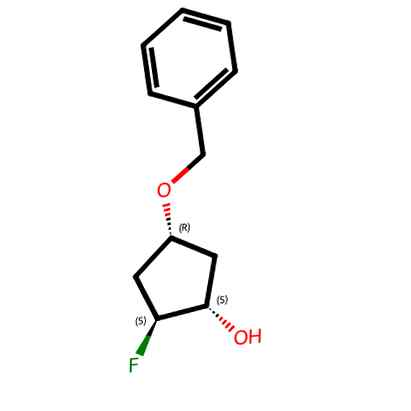 O[C@H]1C[C@@H](OCc2ccccc2)C[C@@H]1F